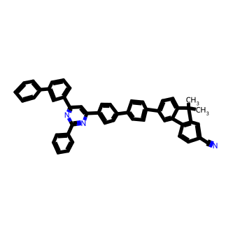 CC1(C)c2ccc(-c3ccc(-c4ccc(-c5cc(-c6cccc(-c7ccccc7)c6)nc(-c6ccccc6)n5)cc4)cc3)cc2-c2ccc(C#N)cc21